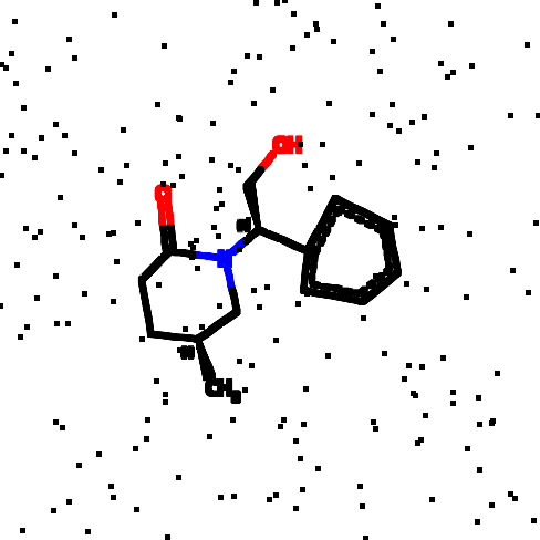 C[C@H]1CCC(=O)N([C@@H](CO)c2ccccc2)C1